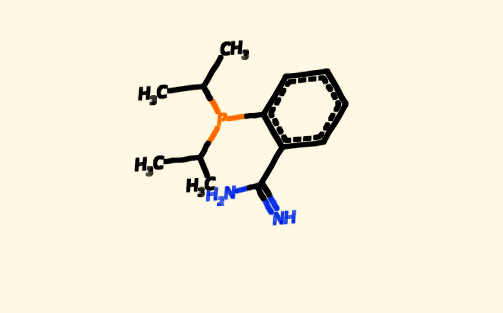 CC(C)P(c1ccccc1C(=N)N)C(C)C